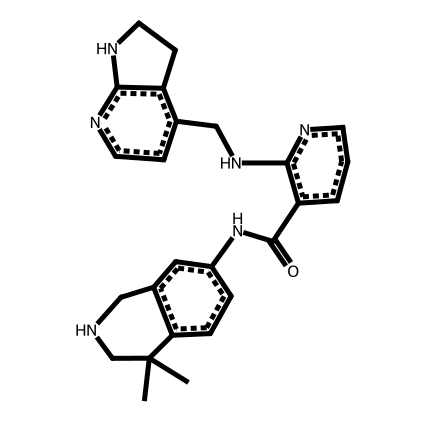 CC1(C)CNCc2cc(NC(=O)c3cccnc3NCc3ccnc4c3CCN4)ccc21